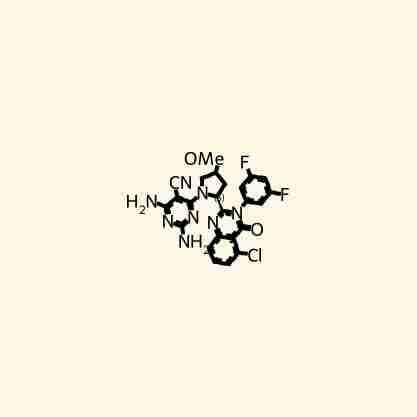 COC1C[C@@H](c2nc3cccc(Cl)c3c(=O)n2-c2cc(F)cc(F)c2)N(c2nc(N)nc(N)c2C#N)C1